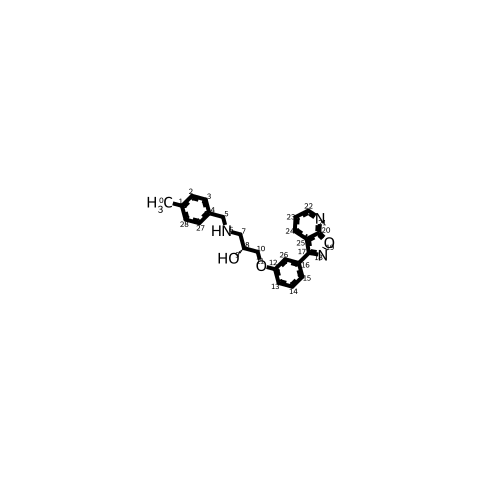 Cc1ccc(CNC[C@@H](O)COc2cccc(-c3noc4ncccc34)c2)cc1